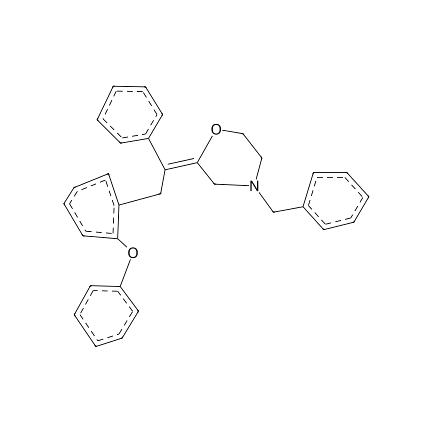 c1ccc(CN2CCO/C(=C(/Cc3ccccc3Oc3ccccc3)c3ccccc3)C2)cc1